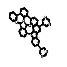 O=C1c2cccc(-n3c4ccc(-c5cncnc5)cc4c4cc(-c5cncnc5)ccc43)c2C(=O)N1c1c(-c2ccccc2)cccc1-c1ccccc1